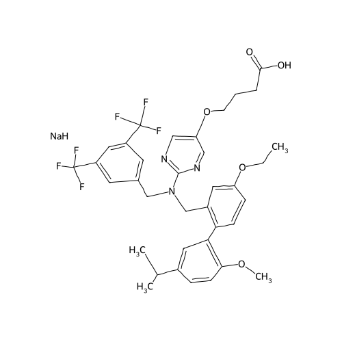 CCOc1ccc(-c2cc(C(C)C)ccc2OC)c(CN(Cc2cc(C(F)(F)F)cc(C(F)(F)F)c2)c2ncc(OCCCC(=O)O)cn2)c1.[NaH]